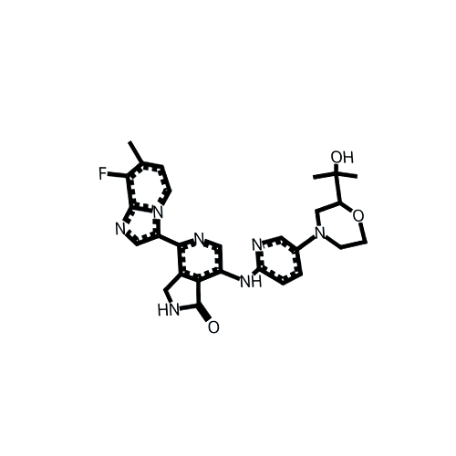 Cc1ccn2c(-c3ncc(Nc4ccc(N5CCOC(C(C)(C)O)C5)cn4)c4c3CNC4=O)cnc2c1F